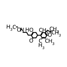 CCON=CCCC1=C(O)CC(c2c(C)c(C)c3c(c2C)CC(C)(C)O3)CC1=O